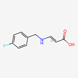 O=C(O)/C=C/NCc1ccc(F)cc1